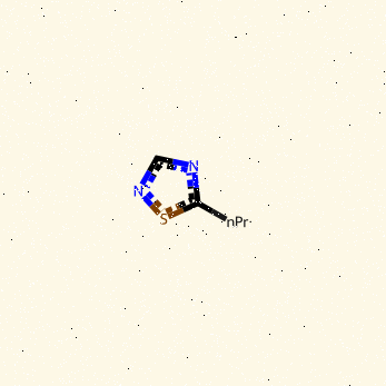 CC[CH]c1ncns1